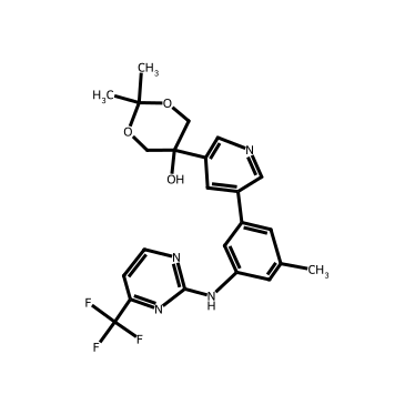 Cc1cc(Nc2nccc(C(F)(F)F)n2)cc(-c2cncc(C3(O)COC(C)(C)OC3)c2)c1